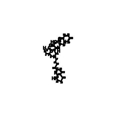 COC(CF)CN(CCCCc1ccc2c(n1)NCCC2)CCC(NC(=O)Cn1ccccc1=O)C(=O)O